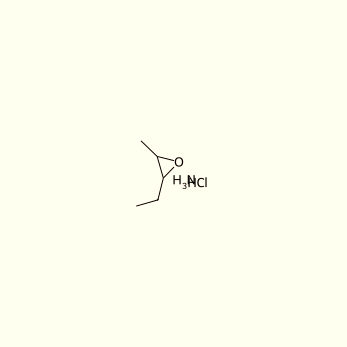 CCC1OC1C.Cl.N